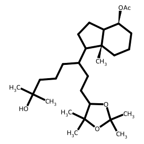 CC(=O)O[C@H]1CCC[C@]2(C)C(C(CCCC(C)(C)O)CCC3OC(C)(C)OC3(C)C)CCC12